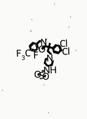 CN(Cc1ccc(C(F)(F)F)c(F)c1)C(=O)C(C)(CCN1CCC(NCS(C)(=O)=O)CC1)c1ccc(Cl)c(Cl)c1